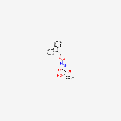 O=C(NNC(=O)[C@H](O)[C@@H](O)C(=O)O)OCC1c2ccccc2-c2ccccc21